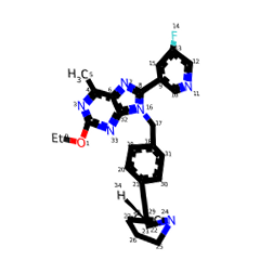 CCOc1nc(C)c2nc(-c3cncc(F)c3)n(Cc3ccc([C@H]4CN5CCC4CC5)cc3)c2n1